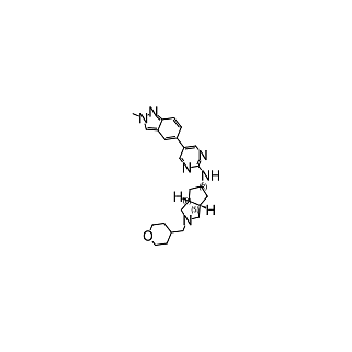 Cn1cc2cc(-c3cnc(N[C@@H]4C[C@@H]5CN(CC6CCOCC6)C[C@@H]5C4)nc3)ccc2n1